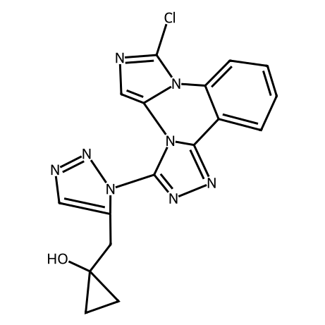 OC1(Cc2cnnn2-c2nnc3c4ccccc4n4c(Cl)ncc4n23)CC1